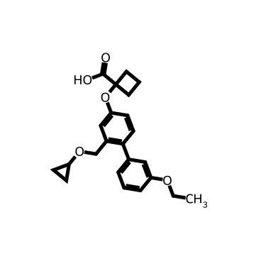 CCOc1cccc(-c2ccc(OC3(C(=O)O)CCC3)cc2COC2CC2)c1